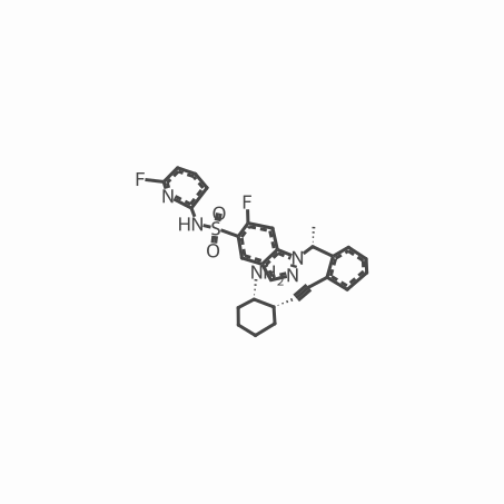 C[C@H](c1ccccc1C#C[C@@H]1CCCC[C@@H]1N)n1ncc2cc(S(=O)(=O)Nc3cccc(F)n3)c(F)cc21